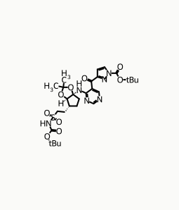 CC(C)(C)OC(=O)NS(=O)(=O)CC[C@H]1CC[C@]2(Nc3ncncc3C(=O)c3ccn(C(=O)OC(C)(C)C)n3)OC(C)(C)O[C@H]12